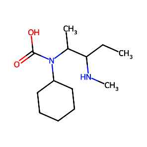 CCC(NC)C(C)N(C(=O)O)C1CCCCC1